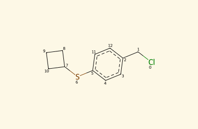 ClCc1ccc(SC2CCC2)cc1